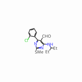 CCC(CC)Nc1nc(SC)nc(-c2ccccc2Cl)c1C=O